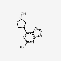 CC(C)(C)c1nc(N2CC[C@H](O)C2)c2nn[nH]c2n1